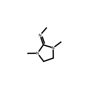 CN=C1N(C)CCN1C